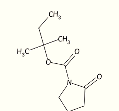 CCC(C)(C)OC(=O)N1CCCC1=O